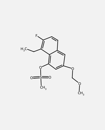 CCc1c(F)ccc2cc(OCOC)cc(OS(C)(=O)=O)c12